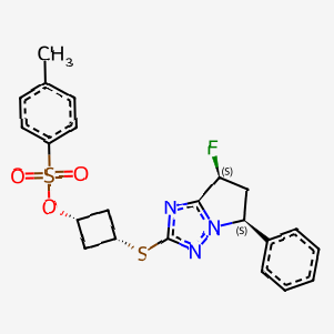 Cc1ccc(S(=O)(=O)O[C@H]2C[C@@H](Sc3nc4n(n3)[C@H](c3ccccc3)C[C@@H]4F)C2)cc1